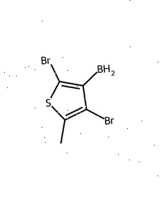 Bc1c(Br)sc(C)c1Br